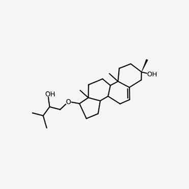 CC(C)C(O)COC1CCC2C3CC=C4C[C@@](C)(O)CCC4(C)C3CCC12C